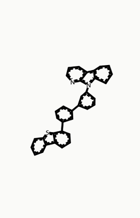 c1cc(-c2cccc(-n3c4ccccc4c4cccnc43)c2)cc(-c2cccc3c2sc2ccccc23)c1